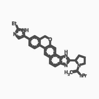 C=C(CCC)N1CCCC1c1nc2ccc3cc4c(cc3c2[nH]1)OCc1cc(-c2cnc(CC)[nH]2)ccc1-4